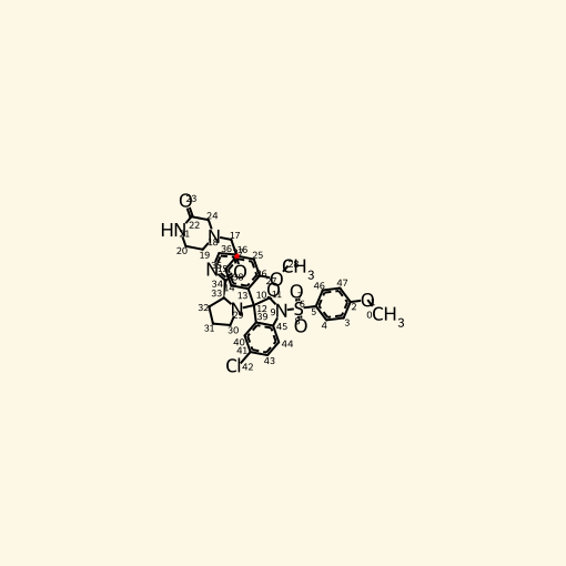 COc1ccc(S(=O)(=O)N2C(=O)C(c3ccc(CN4CCNC(=O)C4)cc3OC)(N3CCC[C@H]3c3ncco3)c3cc(Cl)ccc32)cc1